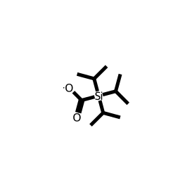 CC(C)[Si](C([O])=O)(C(C)C)C(C)C